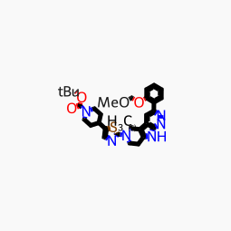 COCOc1ccccc1-c1cc2c3c([nH]c2nn1)CCN(c1ncc(C2CCN(C(=O)OC(C)(C)C)CC2)s1)[C@H]3C